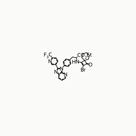 CCOC(=O)[C@H](Cc1ccc(-n2c(-c3ccc(C(F)(F)F)nc3)nc3cccnc32)cc1)NC1=C(Br)C(=O)C12CCCCC2